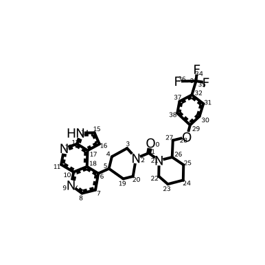 O=C(N1CCC(c2ccnc3cnc4[nH]ccc4c23)CC1)N1CCCCC1COc1ccc(C(F)(F)F)cc1